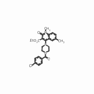 CCOC(=O)c1c(N2CCN(C(=O)c3ccc(Cl)cc3)CC2)c2cc(C)ccc2n(C)c1=O